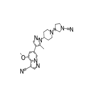 COc1cc(-c2cnn(C3CCN([C@@H]4CCN(C#N)C4)CC3)c2C)cn2ncc(C#N)c12